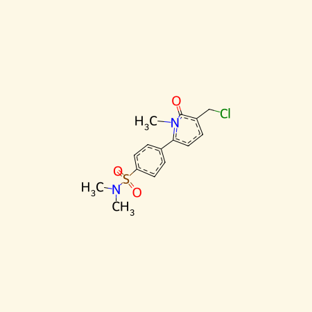 CN(C)S(=O)(=O)c1ccc(-c2ccc(CCl)c(=O)n2C)cc1